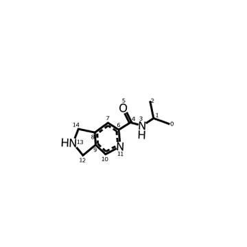 CC(C)NC(=O)c1cc2c(cn1)CNC2